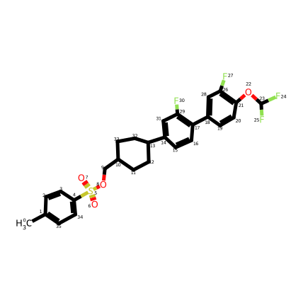 Cc1ccc(S(=O)(=O)OCC2CCC(c3ccc(-c4ccc(OC(F)F)c(F)c4)c(F)c3)CC2)cc1